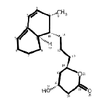 C[C@H]1C=CC2=CCCC[C@@H]2[C@H]1CCC[C@@H]1C[C@@H](O)CC(=O)O1